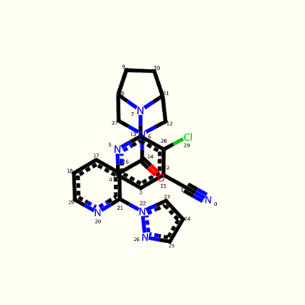 N#Cc1ccnc(N2C3CCC2CN(C(=O)c2cccnc2-n2cccn2)C3)c1Cl